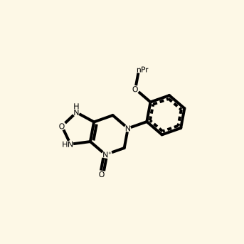 CCCOc1ccccc1N1CC2=C(NON2)[N+](=O)C1